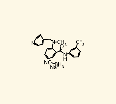 CN(Cc1ccncc1)c1ccccc1C(=O)Nc1cccc(C(F)(F)F)c1.[BH3-]C#N.[Na+]